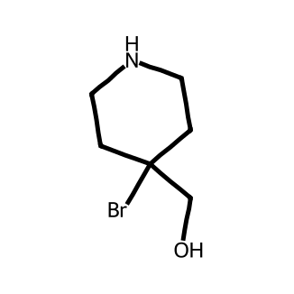 OCC1(Br)CCNCC1